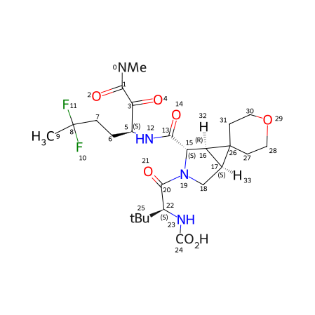 CNC(=O)C(=O)[C@H](CCC(C)(F)F)NC(=O)[C@@H]1[C@@H]2[C@H](CN1C(=O)[C@@H](NC(=O)O)C(C)(C)C)C21CCOCC1